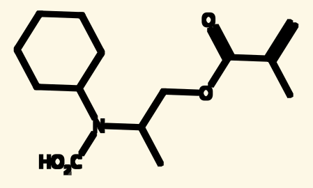 C=C(C)C(=O)OCC(C)N(C(=O)O)C1CCCCC1